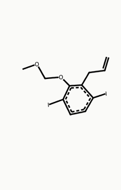 C=CCc1c(I)ccc(I)c1OCOC